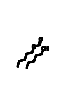 CCCCCO.CCCCCOC=O